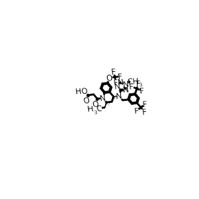 CC[C@@H]1C[C@H](N(Cc2cc(C(F)(F)F)cc(C(F)(F)F)c2)c2nnn(C)n2)c2cc(OC(F)(F)F)ccc2N1C(=O)CC(=O)O